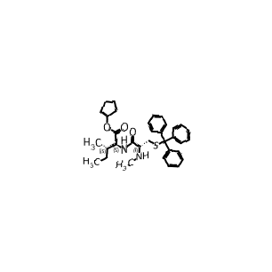 CC[C@H](C)[C@H](NC(=O)[C@H](CSC(c1ccccc1)(c1ccccc1)c1ccccc1)NC)C(=O)OC1CCCC1